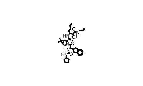 C=CCCC(NC(=O)[C@@H]1C2C(CN1C(=O)[C@@H](NC(=O)NC1CCCC1)C1Cc3ccccc3C1)C2(C)C)C(=O)C(=O)NCC=C